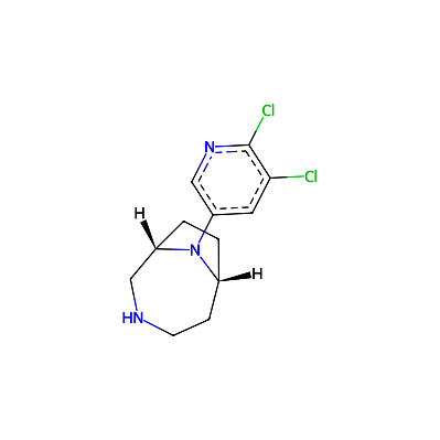 Clc1cc(N2[C@H]3CCNC[C@@H]2CC3)cnc1Cl